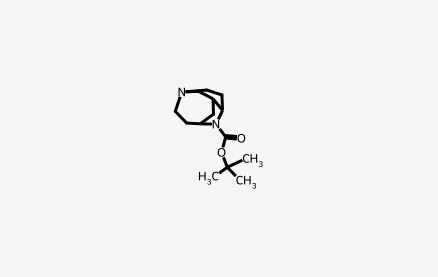 CC(C)(C)OC(=O)N1C2CCN3CCC1C(C2)C3